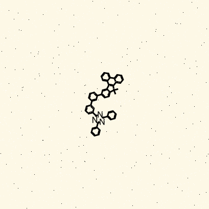 CC1(C)c2ccc(-c3cccc(-c4cccc(-c5nc(-c6ccccc6)nc(-c6ccccc6)n5)c4)c3)cc2-c2c1c1ccccc1c1ccccc21